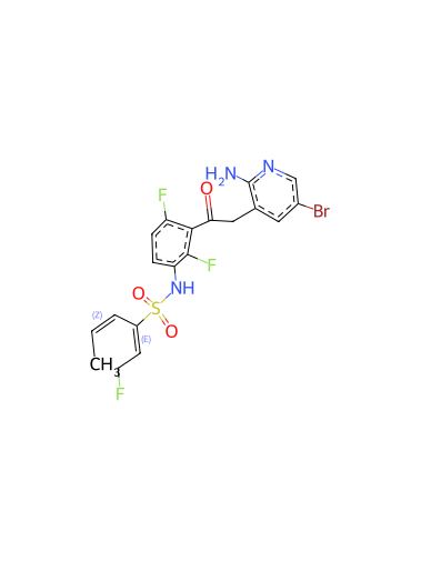 C/C=C\C(=C/CF)S(=O)(=O)Nc1ccc(F)c(C(=O)Cc2cc(Br)cnc2N)c1F